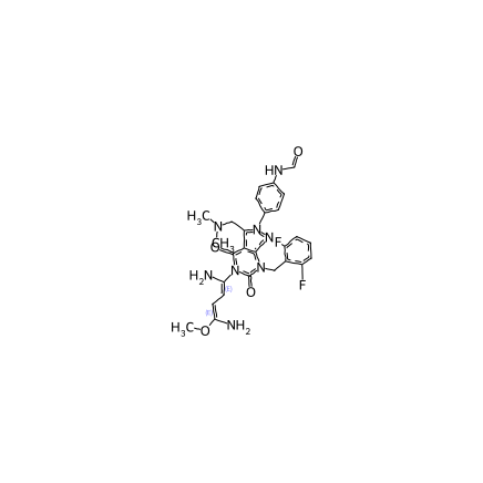 CO/C(N)=C/C=C(\N)n1c(=O)c2c(CN(C)C)n(-c3ccc(NC=O)cc3)nc2n(Cc2c(F)cccc2F)c1=O